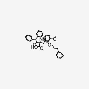 COc1cccc(CC(N)(C(=O)O)C(=O)C(c2ccccc2)c2ccccc2)c1OCCCc1ccccc1